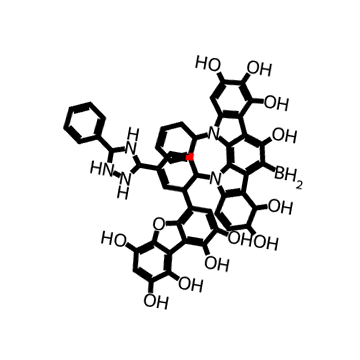 Bc1c(O)c2c3c(O)c(O)c(O)cc3n(C3C=CC=CC3)c2c2c1c1c(n2C2C=CC(C3NNC(c4ccccc4)N3)=CC2c2cc(O)c(O)c3c2oc2c(O)cc(O)c(O)c23)C=CC(O)C1O